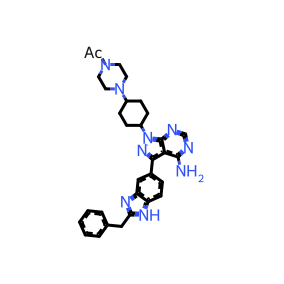 CC(=O)N1CCN(C2CCC(n3nc(-c4ccc5[nH]c(Cc6ccccc6)nc5c4)c4c(N)ncnc43)CC2)CC1